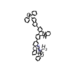 C=c1ccc(-c2ccc3c4cc(-c5ccc6cc(P(=O)(c7ccccc7)c7ccccc7)ccc6c5)ccc4n4c5c(nc4c3c2)CCC=C5)c/c1=C/C=C(\C)P(=O)(c1ccccc1)c1ccccc1